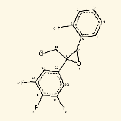 Fc1ccccc1C1OC1(CCl)c1cc(F)c(F)c(F)c1